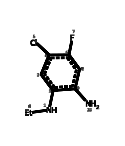 CCNc1cc(Cl)c(F)cc1N